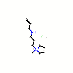 C=CCNCCC[N+](C)(CC)CC.[Cl-]